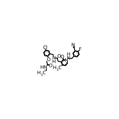 CCNC(=O)COc1ccc(Cl)cc1CNC(=O)Cc1c(C)ccn(NCc2ccc(F)c(C#N)c2)c1=O